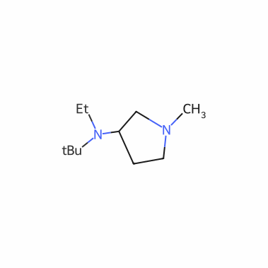 CCN(C1CCN(C)C1)C(C)(C)C